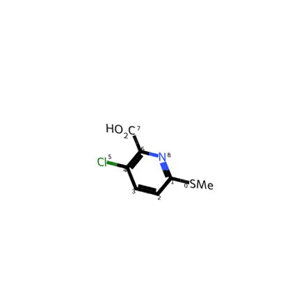 CSc1ccc(Cl)c(C(=O)O)n1